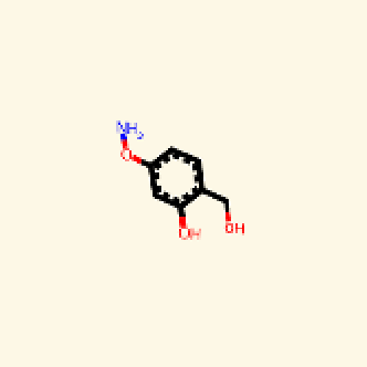 NOc1ccc(CO)c(O)c1